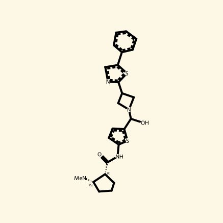 CN[C@H]1CCC[C@H]1C(=O)Nc1ccc(C(O)N2CC(c3ncc(-c4ccccc4)s3)C2)s1